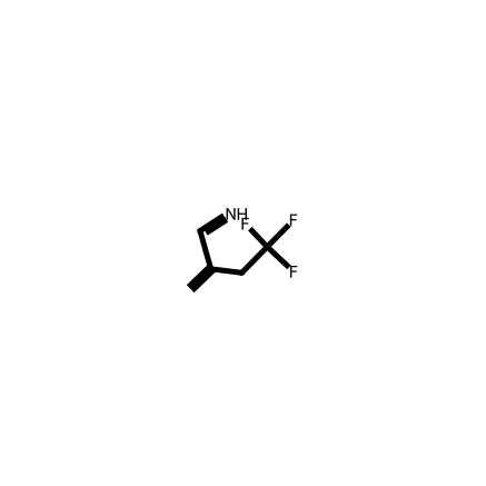 C=C(C=N)CC(F)(F)F